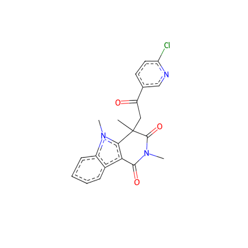 CN1C(=O)c2c(n(C)c3ccccc23)C(C)(CC(=O)c2ccc(Cl)nc2)C1=O